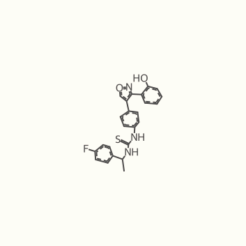 CC(NC(=S)Nc1ccc(-c2conc2-c2ccccc2O)cc1)c1ccc(F)cc1